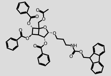 CC(=O)OCC12O[C@H](OCCCNC(=O)OCC3c4ccccc4-c4ccccc43)[C@H](OC(=O)c3ccccc3)C1[C@@H](OC(=O)c1ccccc1)[C@@H]2OC(=O)c1ccccc1